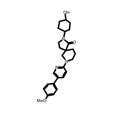 COc1ccc(-c2ccc(N3CCCC4(CCN(C5CCC(O)CC5)C4=O)C3)nc2)cc1